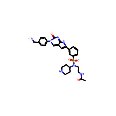 CC(=O)NCCN(C1CCNCC1)S(=O)(=O)c1cccc(-c2cc3cn(-c4ccc(CN)cc4)c(=O)nc3[nH]2)c1